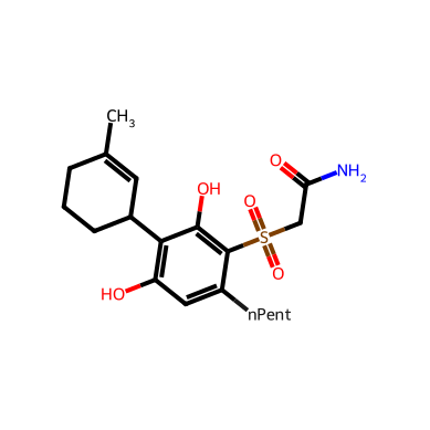 CCCCCc1cc(O)c(C2C=C(C)CCC2)c(O)c1S(=O)(=O)CC(N)=O